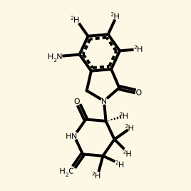 [2H]c1c([2H])c(N)c2c(c1[2H])C(=O)N([C@]1([2H])C(=O)NC(=C)C([2H])([2H])C1([2H])[2H])C2